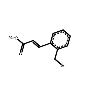 COC(=O)C=Cc1ccccc1CBr